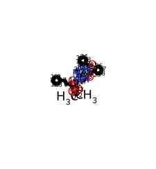 CC1(C)OC2C(C=Cc3ccccc3)OC(n3cnc4c(N(C(=O)c5ccccc5)C(=O)c5ccccc5)ncnc43)C2O1